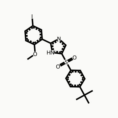 COc1ccc(I)cc1-c1ncc(S(=O)(=O)c2ccc(C(C)(C)C)cc2)[nH]1